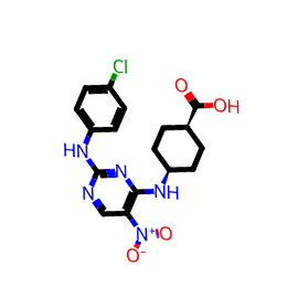 O=C(O)[C@H]1CC[C@@H](Nc2nc(Nc3ccc(Cl)cc3)ncc2[N+](=O)[O-])CC1